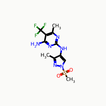 Cc1nn(S(C)(=O)=O)cc1Nc1nc(C)c(C(F)(F)F)c(N)n1